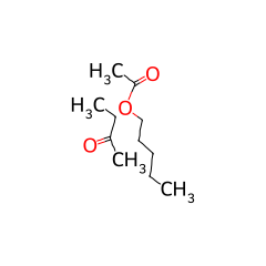 CCC(C)=O.CCCCCOC(C)=O